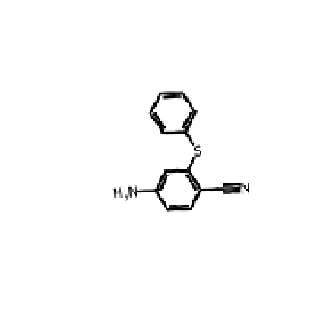 N#Cc1ccc(N)cc1Sc1ccccc1